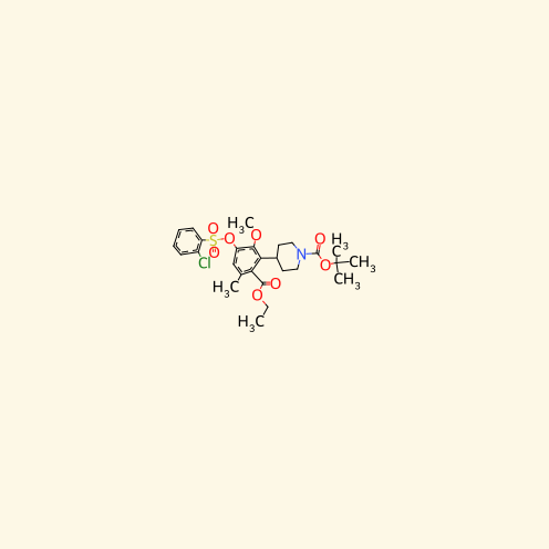 CCOC(=O)c1c(C)cc(OS(=O)(=O)c2ccccc2Cl)c(OC)c1C1CCN(C(=O)OC(C)(C)C)CC1